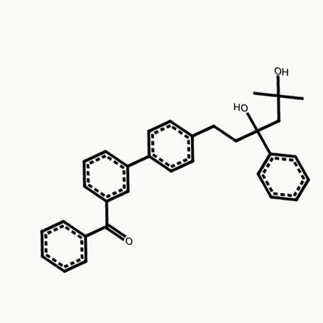 CC(C)(O)CC(O)(CCc1ccc(-c2cccc(C(=O)c3ccccc3)c2)cc1)c1ccccc1